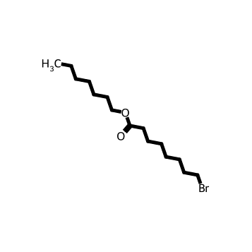 CCCCCCCOC(=O)CCCCCCCBr